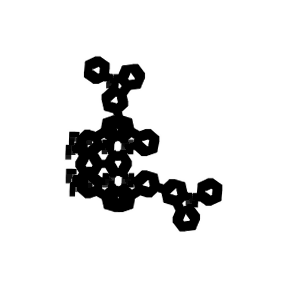 FC(F)(F)c1cc(-c2c(-n3c4ccccc4c4ccccc43)c(-n3c4ccccc4c4cc(-c5ccc6c(c5)c5ccccc5n6-c5ccccc5)ccc43)cc(-n3c4ccccc4c4cc(-c5ccc6c(c5)c5ccccc5n6-c5ccccc5)ccc43)c2-n2c3ccccc3c3ccccc32)cc(C(F)(F)F)c1